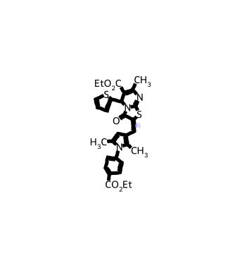 CCOC(=O)C1=C(C)N=c2s/c(=C/c3cc(C)n(-c4ccc(C(=O)OCC)cc4)c3C)c(=O)n2C1c1cccs1